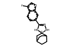 Fc1csc2cc(C3=NN[C@@]4(CC5CCC4CC5)N3)ccc12